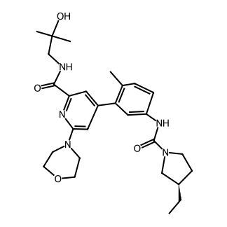 CC[C@@H]1CCN(C(=O)Nc2ccc(C)c(-c3cc(C(=O)NCC(C)(C)O)nc(N4CCOCC4)c3)c2)C1